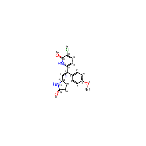 CCOc1ccc(/C(=C\[C@H]2CCC(=O)N2)c2ccc(Cl)c(=O)[nH]2)cc1